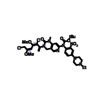 C=C(/C(Cl)=C(\C=C(/CCl)OC)OC)N1Cc2cnc(N(C(=O)OC(C)(C)C)c3ccc(N4CCN(CC)CC4)cc3[N+](=O)[O-])cc2N(C)C1=O